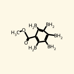 Bc1c(B)c(B)c(C(=O)OC)c(B)c1B